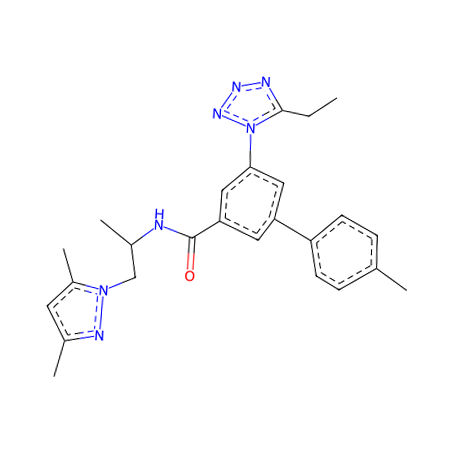 CCc1nnnn1-c1cc(C(=O)NC(C)Cn2nc(C)cc2C)cc(-c2ccc(C)cc2)c1